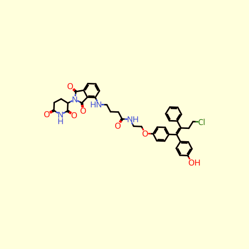 O=C(CCCNc1cccc2c1C(=O)N(C1CCC(=O)NC1=O)C2=O)NCCOc1ccc(C(=C(CCCl)c2ccccc2)c2ccc(O)cc2)cc1